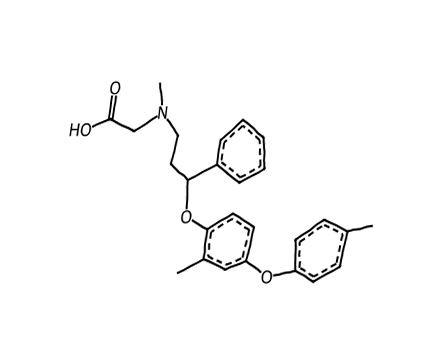 Cc1ccc(Oc2ccc(OC(CCN(C)CC(=O)O)c3ccccc3)c(C)c2)cc1